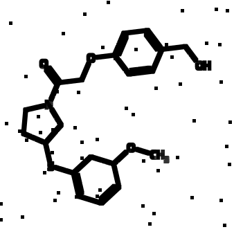 COC1C=CC=C(SC2CCN(C(=O)COc3ccc(CO)cc3)C2)C1